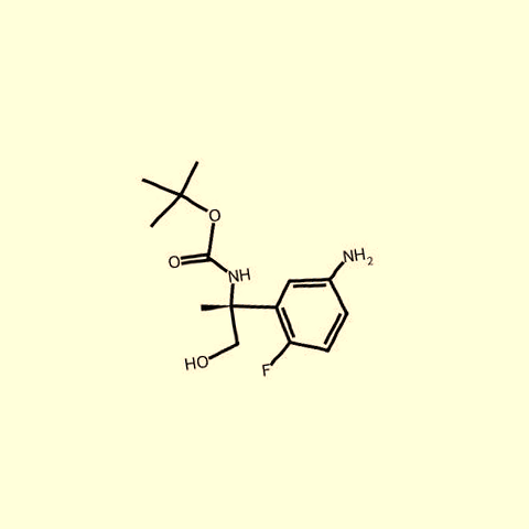 CC(C)(C)OC(=O)N[C@@](C)(CO)c1cc(N)ccc1F